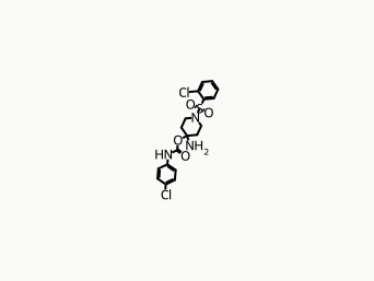 NC1(OC(=O)Nc2ccc(Cl)cc2)CCN(S(=O)(=O)c2ccccc2Cl)CC1